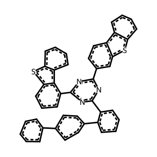 c1ccc(-c2ccc(-c3ccccc3-c3nc(-c4ccc5c(c4)sc4ccccc45)nc(-c4cccc5sc6ccccc6c45)n3)cc2)cc1